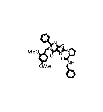 COc1ccc(Cn2c(-c3ccccc3)nc3sc(N4CCCC4C(=O)NCc4ccccc4)nc3c2=O)c(OC)c1